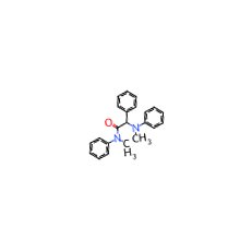 CN(C(=O)C(c1ccccc1)N(C)c1ccccc1)c1ccccc1